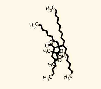 CCCCCCCCCCC(CCCCCCCC)C(CCCCCCCC)(CCCCCCCC)C(C(=O)O)C(O)(CC(=O)O)C(=O)O